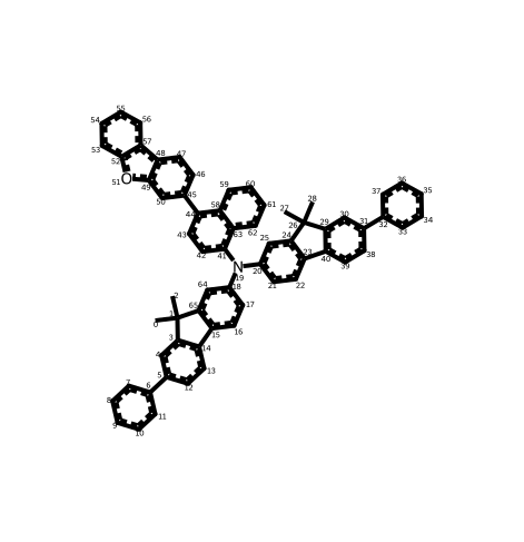 CC1(C)c2cc(-c3ccccc3)ccc2-c2ccc(N(c3ccc4c(c3)C(C)(C)c3cc(-c5ccccc5)ccc3-4)c3ccc(-c4ccc5c(c4)oc4ccccc45)c4ccccc34)cc21